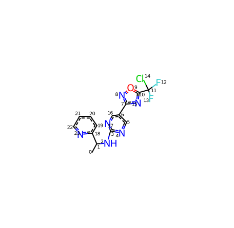 CC(Nc1ncc(-c2noc(C(F)(F)Cl)n2)cn1)c1ccccn1